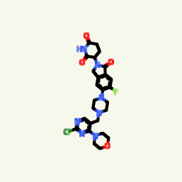 O=C1CCC(N2Cc3cc(N4CCN(Cc5cnc(Cl)nc5N5CCOCC5)CC4)c(F)cc3C2=O)C(=O)N1